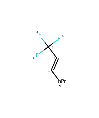 [CH2]CC/C=C/C(F)(F)F